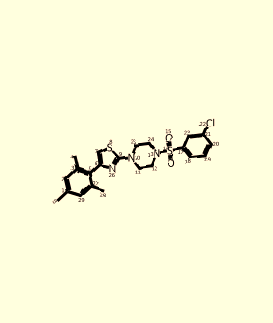 Cc1cc(C)c(-c2csc(N3CCN(S(=O)(=O)c4cccc(Cl)c4)CC3)n2)c(C)c1